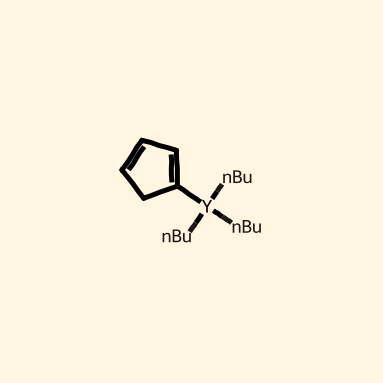 CCC[CH2][Y]([CH2]CCC)([CH2]CCC)[C]1=CC=CC1